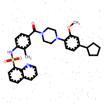 COc1cc(C2CCCC2)ccc1N1CCN(C(=O)c2ccc(NS(=O)(=O)c3cccc4cccnc34)c(C)c2)CC1